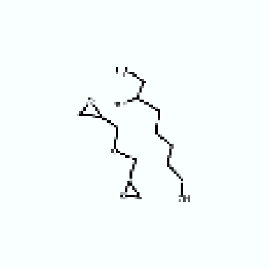 C(OCC1CO1)C1CO1.CCC(O)CCCCCO